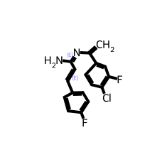 C=C(/N=C(N)\C=C\c1ccc(F)cc1)c1ccc(Cl)c(F)c1